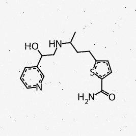 CC(CCc1ccc(C(N)=O)s1)NCC(O)c1cccnc1